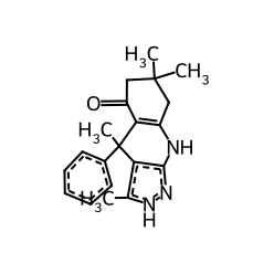 Cc1[nH]nc2c1C(C)(c1ccccc1)C1=C(CC(C)(C)CC1=O)N2